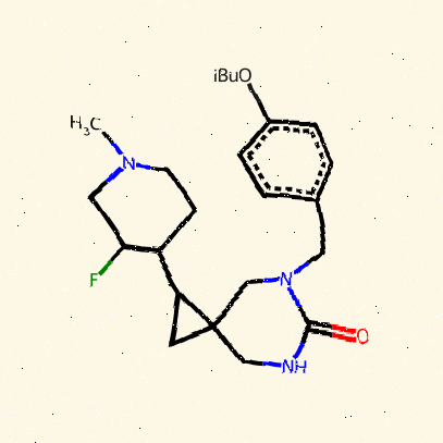 CC(C)COc1ccc(CN2CC3(CNC2=O)CC3C2CCN(C)CC2F)cc1